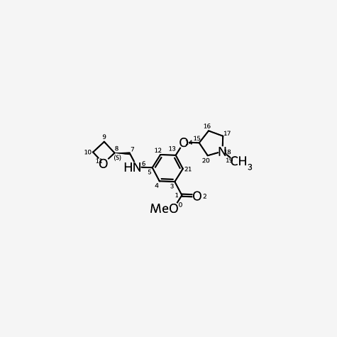 COC(=O)c1cc(NC[C@@H]2CCO2)cc(OC2CCN(C)C2)c1